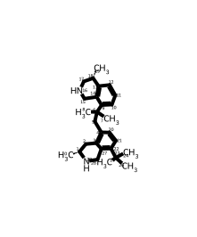 C[C@@H]1Cc2c(CC(C)(C)c3cccc4c3CNC[C@@H]4C)ccc(C(C)(C)C)c2CN1